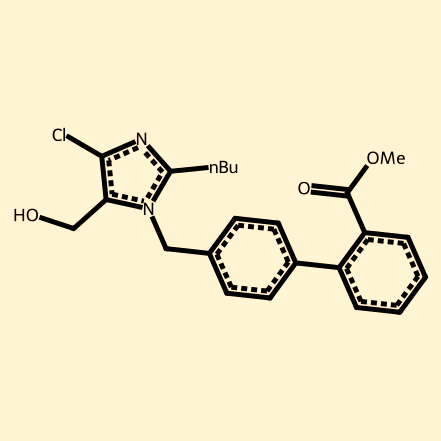 CCCCc1nc(Cl)c(CO)n1Cc1ccc(-c2ccccc2C(=O)OC)cc1